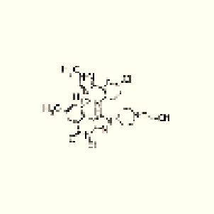 CCn1c(=O)c2cc(C)cc(C(C)Nc3ccc(Cl)nc3-c3ncn(C)n3)c2c2cn(C3CCN(CCC#N)CC3)nc21